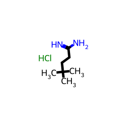 CC(C)(C)CCC(=N)N.Cl